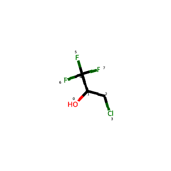 OC(CCl)C(F)(F)F